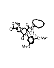 COC(=O)c1cc2n(n1)CC(C)(C(=O)NC1CCCCCCC1)N(c1cc(OC)cc(OC)c1)C2=O